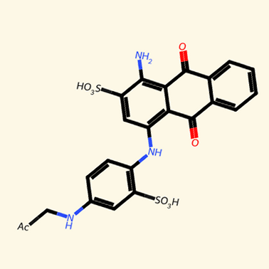 CC(=O)CNc1ccc(Nc2cc(S(=O)(=O)O)c(N)c3c2C(=O)c2ccccc2C3=O)c(S(=O)(=O)O)c1